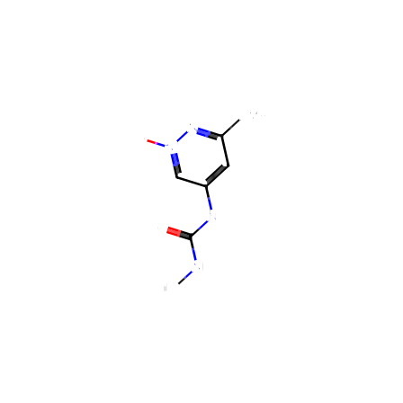 CSc1cc(NC(=O)NC(C)C)c[n+]([O-])n1